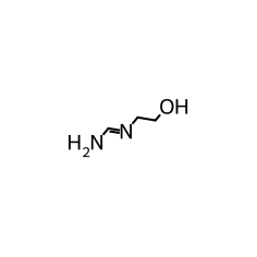 NC=NCCO